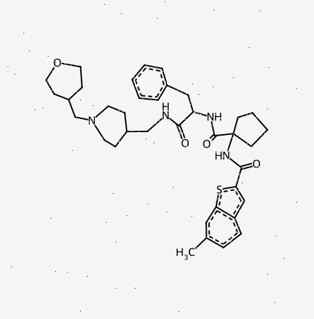 Cc1ccc2cc(C(=O)NC3(C(=O)NC(Cc4ccccc4)C(=O)NCC4CCN(CC5CCOCC5)CC4)CCCC3)sc2c1